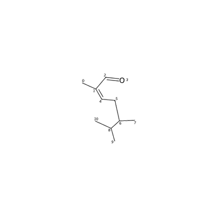 CC(C=O)=CCC(C)C(C)C